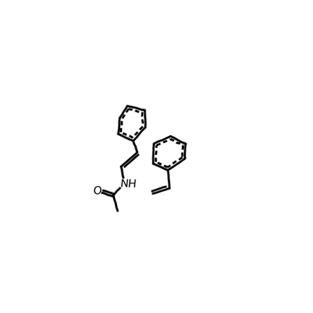 C=Cc1ccccc1.CC(=O)NC=Cc1ccccc1